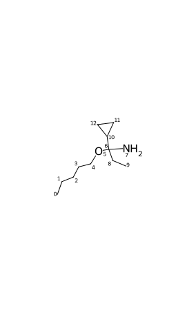 CCCCCOC(N)(CC)C1CC1